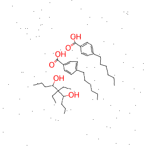 CCCC(O)C(CC)(CC)C(O)CCC.CCCCCCc1ccc(C(=O)O)cc1.CCCCCCc1ccc(C(=O)O)cc1